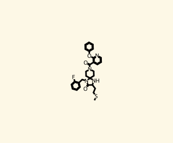 CSCCC1NC2(CCN(C(=O)c3cccnc3Oc3ccccc3)CC2)N(Cc2ccccc2F)C1=O